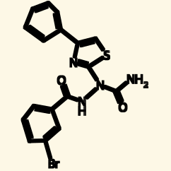 NC(=O)N(NC(=O)c1cccc(Br)c1)c1nc(-c2ccccc2)cs1